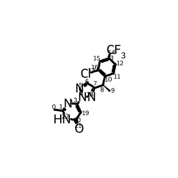 Cc1nc(-n2ncc([C@H](C)c3ccc(C(F)(F)F)cc3Cl)n2)cc(=O)[nH]1